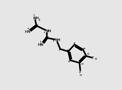 N=C(N)NC(=N)NCc1ccc(F)c(F)c1